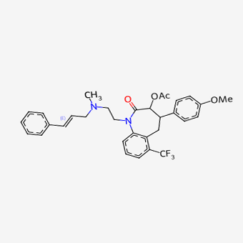 COc1ccc(C2Cc3c(cccc3C(F)(F)F)N(CCN(C)C/C=C/c3ccccc3)C(=O)C2OC(C)=O)cc1